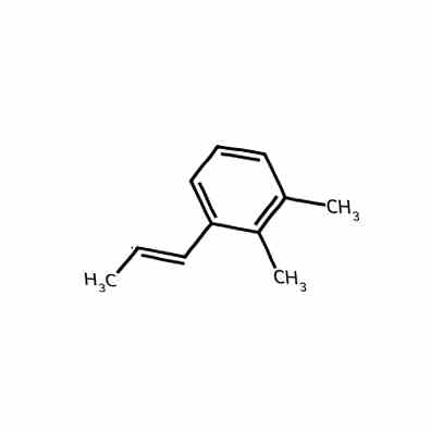 C[C]=Cc1cccc(C)c1C